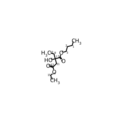 CCCCOC(=O)C(O)(CC)CC(=O)OCC